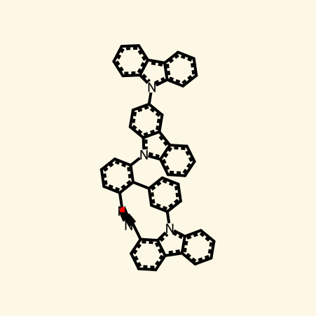 N#Cc1cccc(-n2c3ccccc3c3cc(-n4c5ccccc5c5ccccc54)ccc32)c1-c1cccc(-n2c3ccccc3c3cccc(C#N)c32)c1